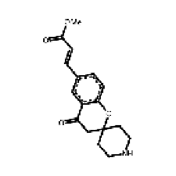 COC(=O)C=Cc1ccc2c(c1)C(=O)CC1(CCNCC1)O2